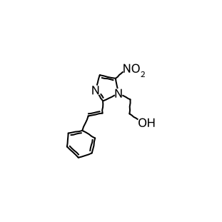 O=[N+]([O-])c1cnc(C=Cc2ccccc2)n1CCO